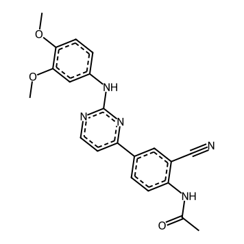 COc1ccc(Nc2nccc(-c3ccc(NC(C)=O)c(C#N)c3)n2)cc1OC